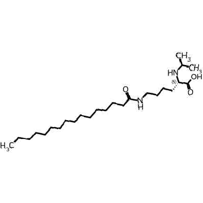 CCCCCCCCCCCCCCCC(=O)NCCCC[C@H](NC(C)C)C(=O)O